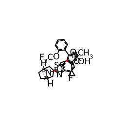 CP(=O)(O)c1cc(F)c2nc(N3[C@@H]4CC[C@H]3CC(OCc3c(-c5ccccc5OC(F)(F)F)noc3C3CC3)C4)sc2c1